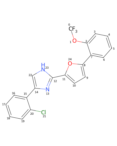 FC(F)(F)Oc1ccccc1-c1ccc(-c2nc(-c3ccccc3Cl)c[nH]2)o1